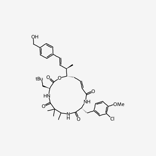 COc1ccc(C[C@H]2NC(=O)/C=C/C[C@@H]([C@H](C)/C=C/c3ccc(CO)cc3)OC(=O)[C@H](CC(C)(C)C)NC(=O)C(C)(C)C(C)NC2=O)cc1Cl